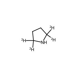 [2H]C1([2H])CCC([2H])([2H])N1